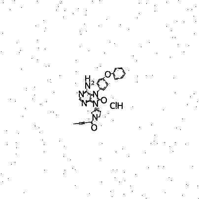 CC#CC(=O)N1CC[C@@H](n2c(=O)n(-c3ccc(Oc4ccccc4)cc3)c3c(N)ncnc32)C1.Cl